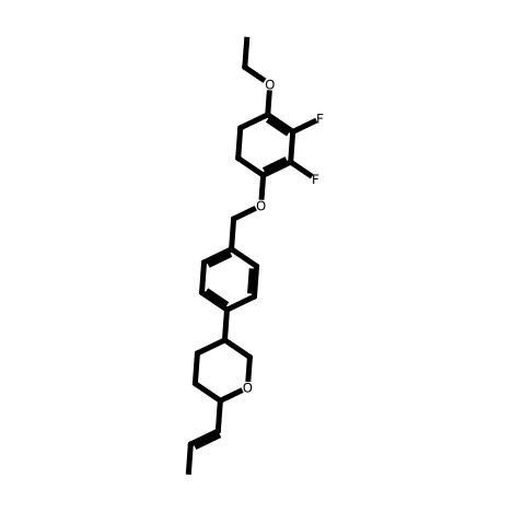 C/C=C/C1CCC(c2ccc(COC3=C(F)C(F)=C(OCC)CC3)cc2)CO1